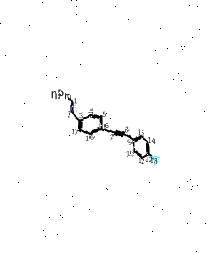 CCC/C=C/c1ccc(C#Cc2ccc(F)cc2)cc1